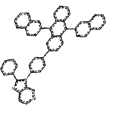 c1ccc(-c2nc3ccncc3n2-c2ccc(-c3ccc4c(-c5ccc6ccccc6c5)c5ccccc5c(-c5ccc6ccccc6c5)c4c3)cc2)cc1